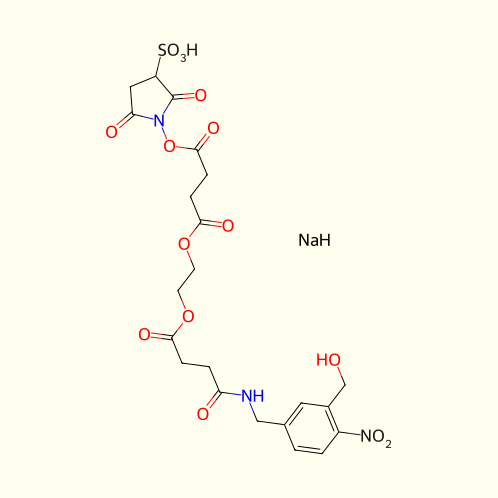 O=C(CCC(=O)OCCOC(=O)CCC(=O)ON1C(=O)CC(S(=O)(=O)O)C1=O)NCc1ccc([N+](=O)[O-])c(CO)c1.[NaH]